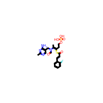 C/C(=C(\CCOP(=O)(O)O)SC(=O)/C=C/c1ccccc1F)N(C=O)Cc1cnc(C)nc1N